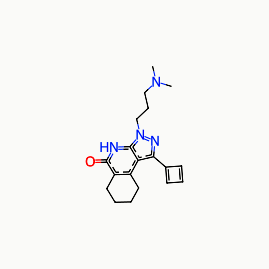 CN(C)CCCn1nc(C2=CC=C2)c2c3c(c(=O)[nH]c21)CCCC3